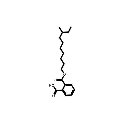 CCC(C)CCCCCCCOC(=O)c1ccccc1C(=O)O